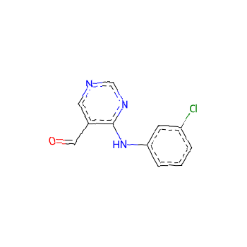 O=Cc1cncnc1Nc1cccc(Cl)c1